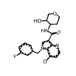 O=C(NC1CCOCC1O)c1cn(Cc2cccc(F)c2)c2c(Cl)ccnc12